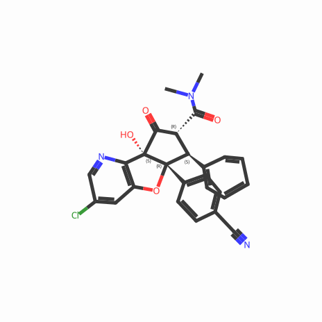 CN(C)C(=O)[C@H]1C(=O)[C@]2(O)c3ncc(Cl)cc3O[C@@]2(c2ccc(C#N)cc2)[C@@H]1c1ccccc1